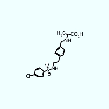 C[C@H](NCc1ccc(CCNS(=O)(=O)c2ccc(Cl)cc2)cc1)C(=O)O